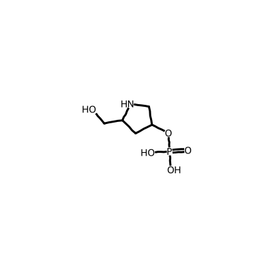 O=P(O)(O)OC1CNC(CO)C1